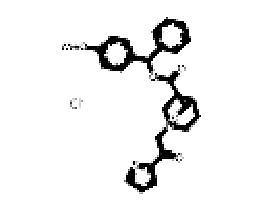 COc1ccc(C(OC(=O)C2C[N+]3(CC(=O)c4cccs4)CCC2CC3)c2ccccc2)cc1.[Cl-]